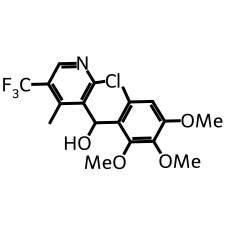 COc1cc(C)c(C(O)c2c(Cl)ncc(C(F)(F)F)c2C)c(OC)c1OC